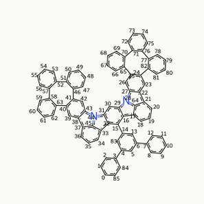 c1ccc(-c2cc(-c3ccccc3)cc(-c3c4c5cccc6c7cc8c(cc7n(c4cc4c3c3cccc7c9cc%10c(cc9n4c73)-c3ccccc3-c3ccccc3-c3ccccc3-%10)c65)-c3ccccc3-c3ccccc3-c3ccccc3-8)c2)cc1